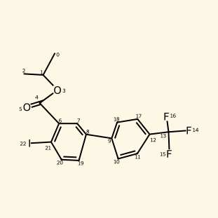 CC(C)OC(=O)c1cc(-c2ccc(C(F)(F)F)cc2)ccc1I